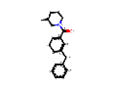 CC1CCCN(C(=O)C2=CC[CH]C(Cc3ccccc3)=C2)C1